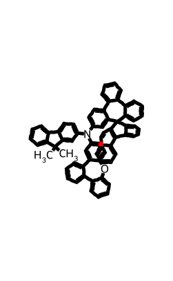 CC1(C)c2ccccc2-c2ccc(N(c3ccc4c(c3)-c3ccccc3-c3ccccc3O4)c3ccc4c(c3)C3(c5ccccc5-c5ccccc5-4)c4ccccc4-c4c3ccc3ccccc43)cc21